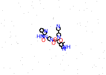 Cc1cc(C[C@@H](OC(=O)N2CCC(n3c(=O)[nH]c4c5ccccc5ncc43)CC2)C(=O)N2CCC(C3CCN(C)CC3)CC2)cc2cn[nH]c12